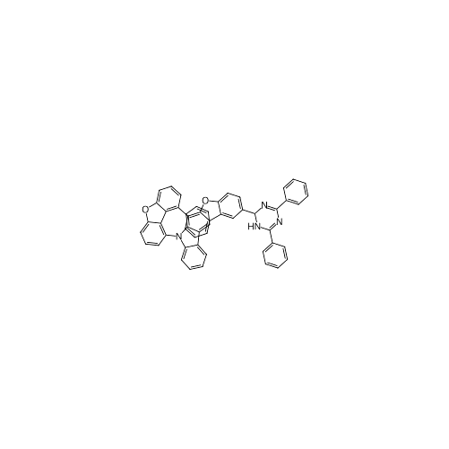 c1ccc(C2=NC(c3ccc4oc5c(-c6cccc7oc8cccc(-n9c%10ccccc%10c%10ccccc%109)c8c67)cccc5c4c3)NC(c3ccccc3)=N2)cc1